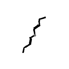 CC/C=C/[B]/C=C/CC